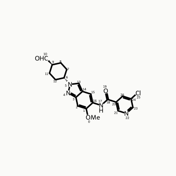 COc1cc2nn([C@H]3CC[C@H](C=O)CC3)cc2cc1NC(=O)c1cncc(Cl)c1